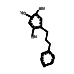 CC(C)(C)c1cc(CCCc2ccccc2)c(C(C)(C)C)cc1O